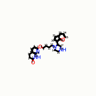 O=C1CCc2ccc(OCCCCN3CCNCC3c3ccc4cccoc3-4)nc2N1